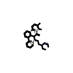 C=C(C1c2ccccc2-c2cccc[n+]2C1CCC(/C=C\C)CC)[n+]1c(C)ccc(C)c1C